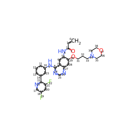 C=CC(=O)Nc1cc2c(Nc3cccc(-c4ncc(F)cc4F)c3)ncnc2cc1OCCCN1CCOCC1